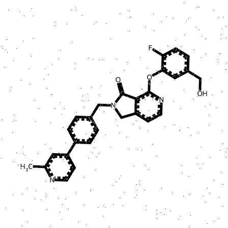 Cc1cc(-c2ccc(CN3Cc4ccnc(Oc5cc(CO)ccc5F)c4C3=O)cc2)ccn1